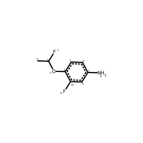 CC(F)Oc1ccc(N)cc1F